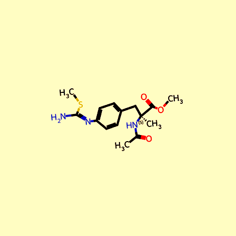 COC(=O)[C@](C)(Cc1ccc(N=C(N)SC)cc1)NC(C)=O